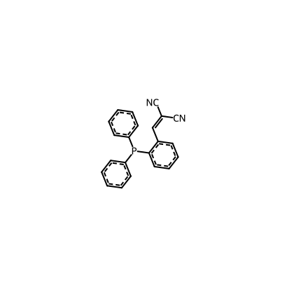 N#CC(C#N)=Cc1ccccc1P(c1ccccc1)c1ccccc1